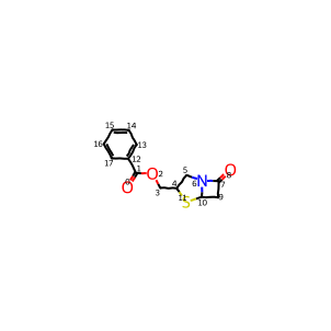 O=C(OCC1CN2C(=O)CC2S1)c1ccccc1